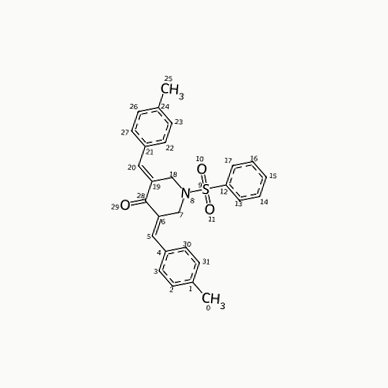 Cc1ccc(/C=C2\CN(S(=O)(=O)c3ccccc3)C/C(=C\c3ccc(C)cc3)C2=O)cc1